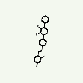 Cc1ccc(/C=C/c2ccc(C3CC=C(c4ccccc4)C(F)=C3F)cc2)c(F)c1